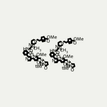 COC(=O)C12CCC(CCN3CCc4nc(C(=O)Nc5cccc(-c6nccc(-c7ccc(CN(C[C@@H]8CCC(=O)N8)C(=O)OC(C)(C)C)c(OC)n7)c6Cl)c5Cl)n(C)c4C3)(CC1)C2.COC(=O)C12CCC(CCN3CCc4nc(C(=O)Nc5cccc(-c6nccc(-c7ccc(CN(C[C@@H]8CCC(=O)N8)C(=O)OC(C)(C)C)c(OC)n7)c6Cl)c5Cl)n(C)c4C3)(CC1)C2